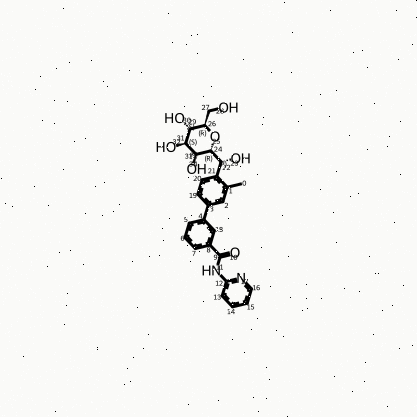 Cc1cc(-c2cccc(C(=O)Nc3ccccn3)c2)ccc1[C@@H](O)[C@H]1O[C@H](CO)[C@@H](O)[C@H](O)[C@@H]1O